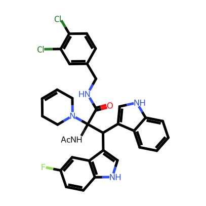 CC(=O)NC(C(=O)NCc1ccc(Cl)c(Cl)c1)(C(c1c[nH]c2ccccc12)c1c[nH]c2ccc(F)cc12)N1CC=CCC1